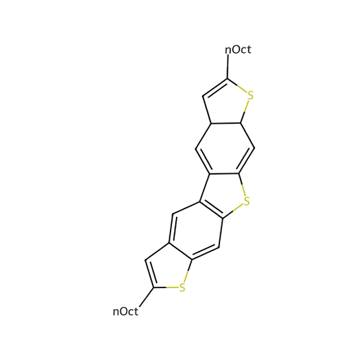 CCCCCCCCC1=CC2C=c3c(sc4cc5sc(CCCCCCCC)cc5cc34)=CC2S1